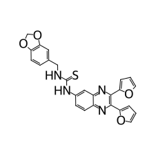 S=C(NCc1ccc2c(c1)OCO2)Nc1ccc2nc(-c3ccco3)c(-c3ccco3)nc2c1